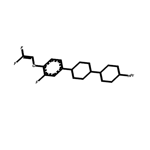 CCCC1CCC(C2CCC(c3ccc(OC=C(F)F)c(F)c3)CC2)CC1